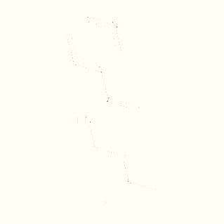 CC(=O)OC(C)NC(=O)c1cccnc1